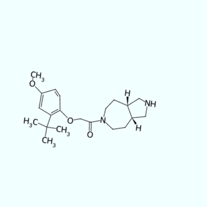 COc1ccc(OCC(=O)N2CC[C@@H]3CNC[C@@H]3CC2)c(C(C)(C)C)c1